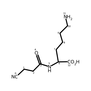 N#CCCC(=O)NC(CCCCN)C(=O)O